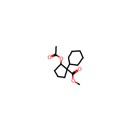 COC(=O)C1(C2CCCCC2)CCCC1OC(C)=O